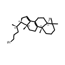 CC(C)CCC[C@@H](C)[C@H]1CC=C2C3=C(CC[C@@]21C)[C@@]1(C)CCCC(C)(C)[C@@H]1CC3